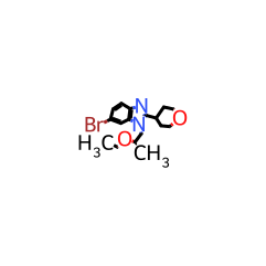 CCO[C@@H](C)Cn1c(C2CCOCC2)nc2ccc(Br)cc21